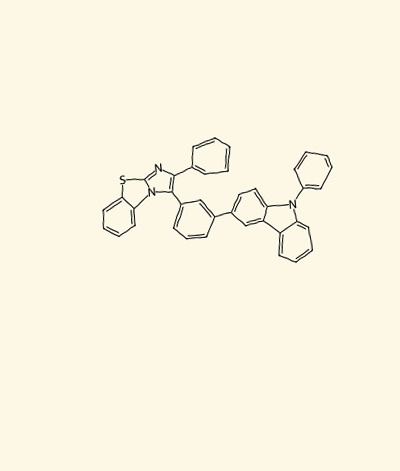 c1ccc(-c2nc3sc4ccccc4n3c2-c2cccc(-c3ccc4c(c3)c3ccccc3n4-c3ccccc3)c2)cc1